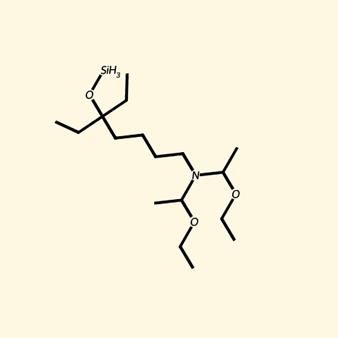 CCOC(C)N(CCCCC(CC)(CC)O[SiH3])C(C)OCC